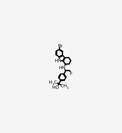 CC(C)(O)c1ccc(C(CF)N[C@@H]2CCCc3c2[nH]c2ccc(Br)cc32)cc1